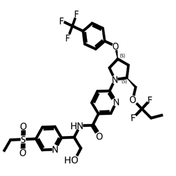 CCC(F)(F)OC[C@@H]1C[C@H](Oc2ccc(C(F)(F)F)cc2)CN1c1ccc(C(=O)NC(CO)c2ccc(S(=O)(=O)CC)cn2)cn1